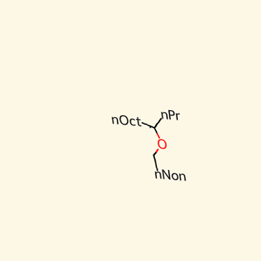 CCCCCCCCCCO[C](CCC)CCCCCCCC